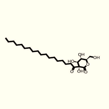 CCCCCCCCCCCCCCCCCC(=O)[C@]1(O)C(=O)O[C@H](CO)[C@@H](O)[C@@H]1O